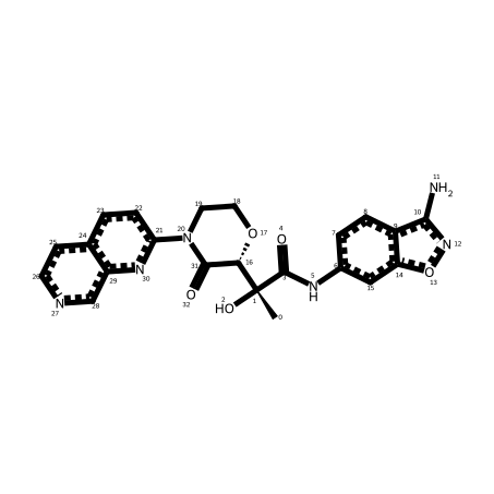 C[C@](O)(C(=O)Nc1ccc2c(N)noc2c1)[C@H]1OCCN(c2ccc3ccncc3n2)C1=O